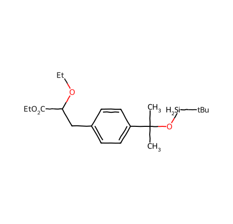 CCOC(=O)C(Cc1ccc(C(C)(C)O[SiH2]C(C)(C)C)cc1)OCC